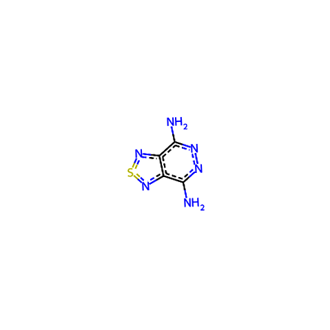 Nc1nnc(N)c2nsnc12